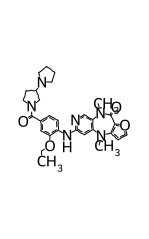 CCOc1cc(C(=O)N2CCC(N3CCCC3)C2)ccc1Nc1cc2c(cn1)N(C)C(=O)c1occc1N2C